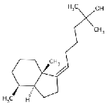 C[C@H]1CCC[C@]2(C)/C(=C\CCCC(C)(C)O)CC[C@@H]12